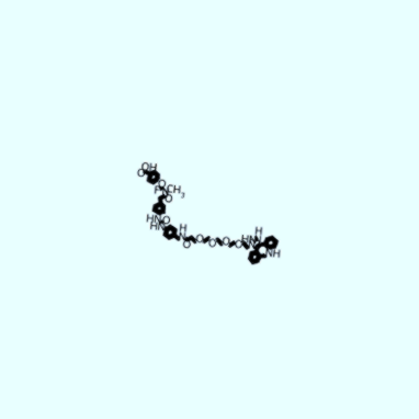 CN(C(=O)Cc1ccc(NC(=O)Nc2ccc(CNC(=O)CCOCCOCCOCCOCCN3NNC4=C3c3ccccc3CNc3ccccc34)cc2)cc1)C(F)Oc1ccc(C(=O)O)cc1